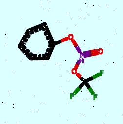 O=[PH](Oc1ccccc1)OC(F)(F)F